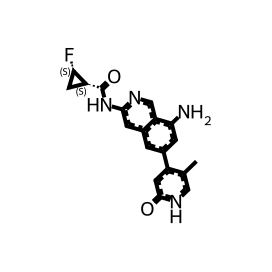 Cc1c[nH]c(=O)cc1-c1cc(N)c2cnc(NC(=O)[C@@H]3C[C@@H]3F)cc2c1